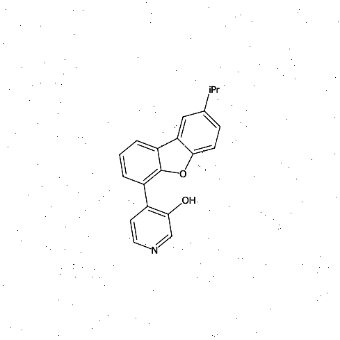 CC(C)c1ccc2oc3c(-c4ccncc4O)cccc3c2c1